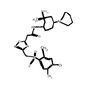 Cc1cc(S(=O)(=O)Cc2noc(CC(=O)NC3CCC(N4CCCC4)CC3(C)C)n2)c(C)cc1Cl